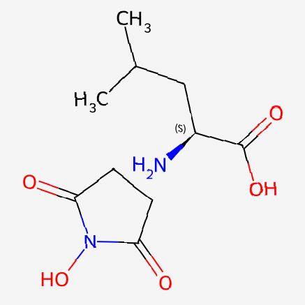 CC(C)C[C@H](N)C(=O)O.O=C1CCC(=O)N1O